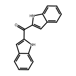 O=C(c1cc2c[c]ccc2[nH]1)c1cc2ccccc2[nH]1